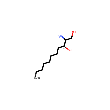 CCCCCCCCCCCCCCC[C@H](O)C(N)CO